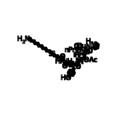 CCCC(=O)OCN(C(=O)[C@@H](NC(=O)[C@H]1CCCCN1C)[C@H](C)CC)[C@H](C[C@@H](OC(C)=O)c1nc(C(=O)N[C@@H](Cc2ccc(O)cc2)C[C@H](C)C(=O)NNC(=O)OCCSSCCCCCCCCCCCN)cs1)C(C)C